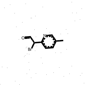 Cc1ccc(C(Br)C=O)nc1